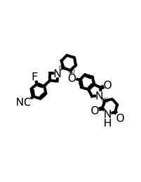 N#Cc1ccc(C2CN([C@@H]3CCCC[C@H]3Oc3ccc4c(c3)CN([C@@H]3CCC(=O)NC3=O)C4=O)C2)c(F)c1